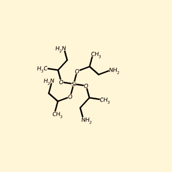 CC(CN)O[Si](OC(C)CN)(OC(C)CN)OC(C)CN